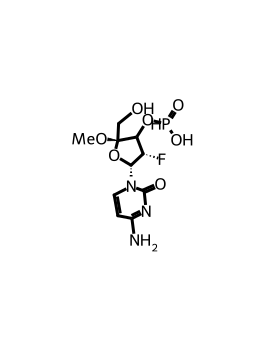 CO[C@]1(CO)O[C@@H](n2ccc(N)nc2=O)[C@@H](F)C1O[PH](=O)O